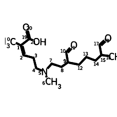 CC(=CCCN(C)CCC(C=O)CCCC(C)C=O)C(=O)O